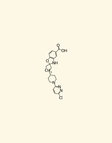 CCC1(CCC2CCN(c3ccc(Cl)nn3)CC2)Nc2cc(C(=O)O)ccc2O1